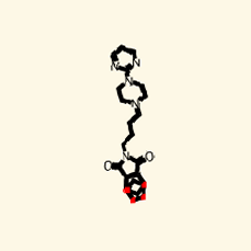 O=C1N(CCCCN2CCN(c3ncccn3)CC2)C(=O)C23C4CCC(C4)C12C1CCC3C1